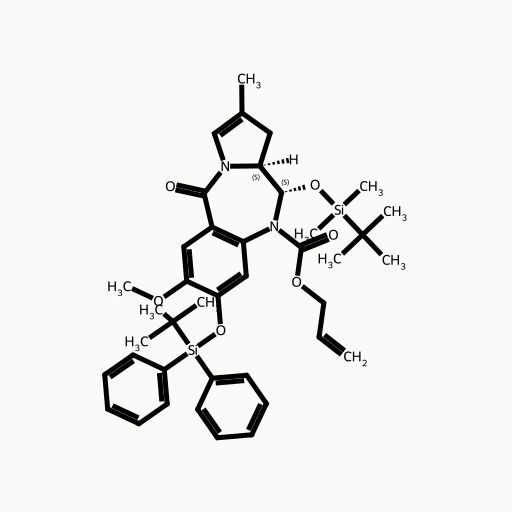 C=CCOC(=O)N1c2cc(O[Si](c3ccccc3)(c3ccccc3)C(C)(C)C)c(OC)cc2C(=O)N2C=C(C)C[C@H]2[C@@H]1O[Si](C)(C)C(C)(C)C